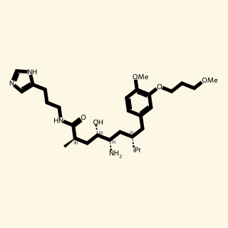 COCCCOc1cc(C[C@@H](C[C@H](N)[C@@H](O)C[C@@H](C)C(=O)NCCCc2cnc[nH]2)C(C)C)ccc1OC